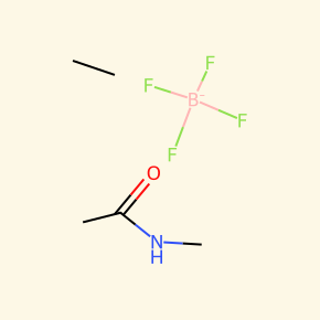 CC.CNC(C)=O.F[B-](F)(F)F